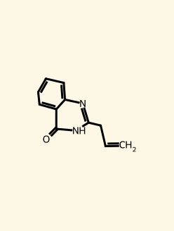 C=CCc1nc2ccccc2c(=O)[nH]1